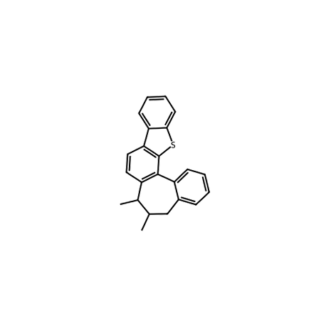 CC1Cc2ccccc2-c2c(ccc3c2sc2ccccc23)C1C